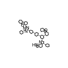 c1ccc(-c2nc(-c3ccc(-c4ccc(-c5cc(-c6cc(-c7ccccc7)c7ccc8cc[nH]c8c7n6)cc(-c6cccc7oc8ccccc8c67)c5)cc4)cc3)nc(-c3cccc4c3oc3ccccc34)n2)cc1